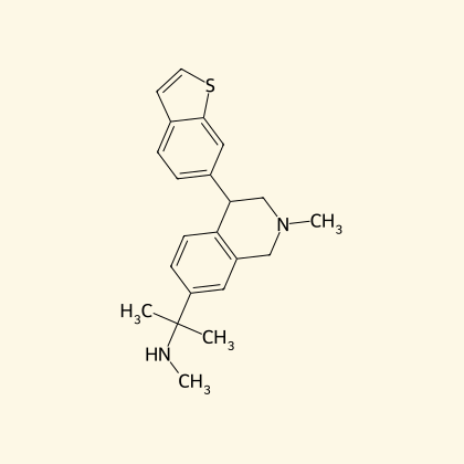 CNC(C)(C)c1ccc2c(c1)CN(C)CC2c1ccc2ccsc2c1